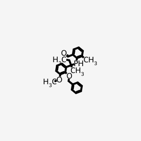 CCC(C)(Pc1c(C)cccc1C=O)c1cccc(OC)c1OCc1ccccc1